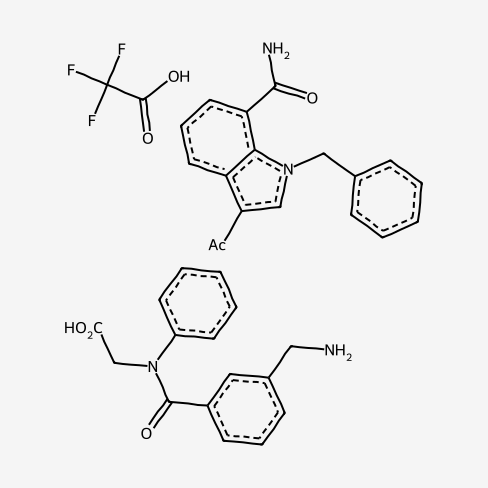 CC(=O)c1cn(Cc2ccccc2)c2c(C(N)=O)cccc12.NCc1cccc(C(=O)N(CC(=O)O)c2ccccc2)c1.O=C(O)C(F)(F)F